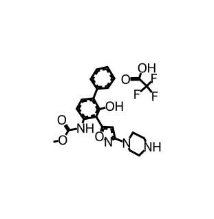 COC(=O)Nc1ccc(-c2ccccc2)c(O)c1-c1cc(N2CCNCC2)no1.O=C(O)C(F)(F)F